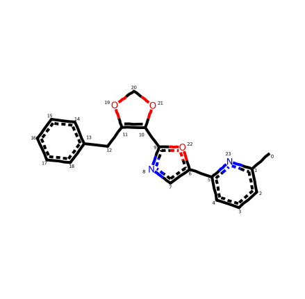 Cc1cccc(-c2cnc(C3=C(Cc4ccccc4)OCO3)o2)n1